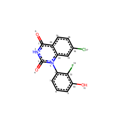 O=c1[nH]c(=O)n(-c2cccc(O)c2F)c2cc(Cl)ccc12